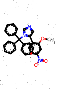 COc1cc([N+](=O)[O-])ccc1-c1cncn1C(c1ccccc1)(c1ccccc1)c1ccccc1